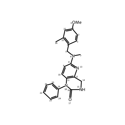 COc1ccc(CN(C)c2ccc3c(n2)CNC(=O)N3c2ccccc2)c(C)c1